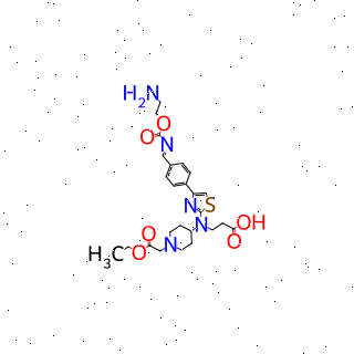 CCOC(=O)CN1CCC(N(CCC(=O)O)c2nc(-c3ccc(C=NC(=O)OCCN)cc3)cs2)CC1